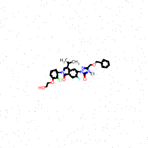 C=C(C)c1cn(-c2cccc(OCCO)c2Cl)c(=O)c2cc(F)c(-n3nc(COCc4ccccc4)n(CC)c3=O)cc12